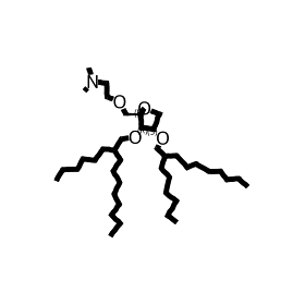 CCCCCCCCC(CCCCCC)CO[C@@H]1[C@@H](OCC(CCCCCC)CCCCCCCC)CO[C@@H]1COCCN(C)C